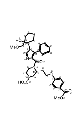 COC[C@]1(O)CCCC[C@H]1n1cnc(C(=O)N2CCN(C(=O)O)C[C@H]2CCOc2ccc(C(=O)OC)cc2)c1-c1ccccc1